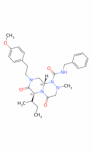 CCC(C)[C@H]1C(=O)N(CCc2ccc(OC)cc2)C[C@H]2N1C(=O)CN(C)N2C(=O)NCc1ccccc1